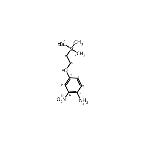 CC(C)(C)[Si](C)(C)CCOc1ccc(N)c([N+](=O)[O-])c1